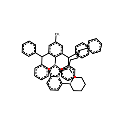 Cc1cc(C(c2ccccc2)c2ccccc2)c(-n2cc3cccc(N4CCCCC4)n3[c]2=[Pd]([Cl])[CH2]C=Cc2ccccc2)c(C(c2ccccc2)c2ccccc2)c1